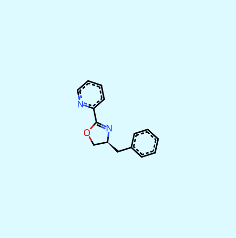 c1ccc(C[C@H]2COC(c3ccccn3)=N2)cc1